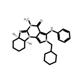 CN1C(=O)c2c(cn(CC3CCCCC3)c2Nc2ccccc2)N2C1=N[C@@H]1CCCC[C@@H]12